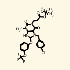 Cn1c2c(c(=O)n(CCC(=O)OC(C)(C)C)c1=O)N(Cc1ccc(Cl)cc1)C(Oc1cccc(OC(F)(F)F)c1)N2